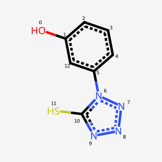 Oc1cccc(-n2nnnc2S)c1